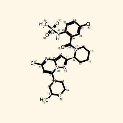 C[C@H]1CN(c2cc(Cl)nc3cc([C@@H]4CCCCN4C(=O)c4cc(Cl)ccc4NS(C)(=O)=O)nn23)CCO1